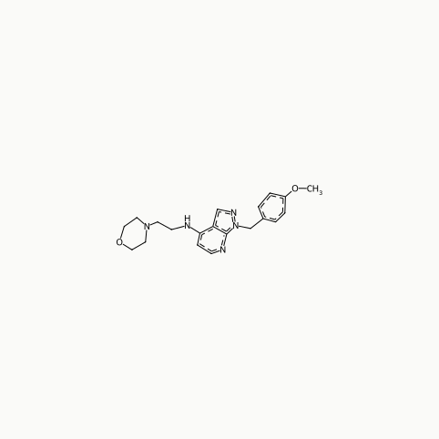 COc1ccc(Cn2ncc3c(NCCN4CCOCC4)ccnc32)cc1